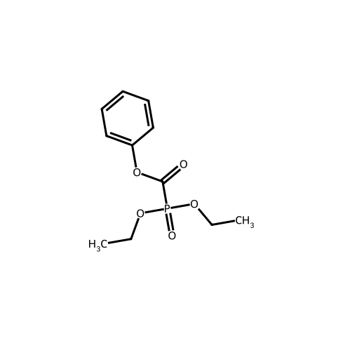 CCOP(=O)(OCC)C(=O)Oc1ccccc1